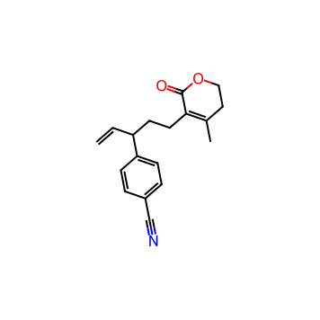 C=CC(CCC1=C(C)CCOC1=O)c1ccc(C#N)cc1